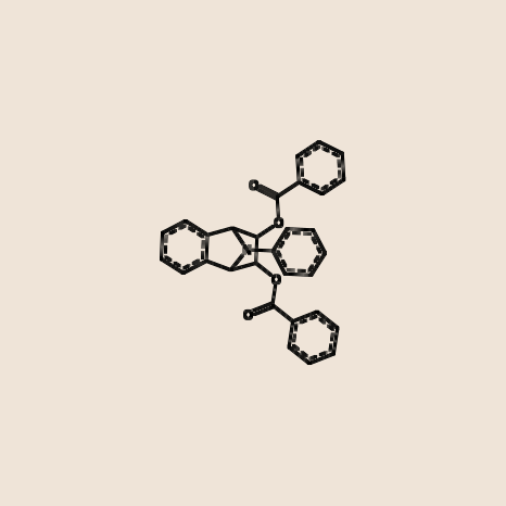 O=C(OC1C(OC(=O)c2ccccc2)C2c3ccccc3C1N2c1ccccc1)c1ccccc1